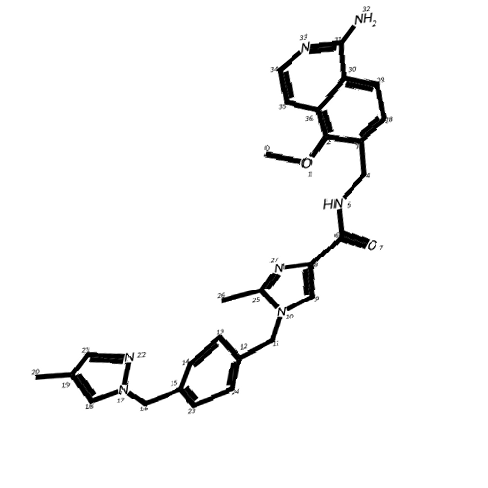 COc1c(CNC(=O)c2cn(Cc3ccc(Cn4cc(C)cn4)cc3)c(C)n2)ccc2c(N)nccc12